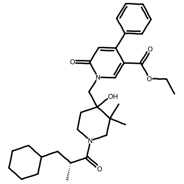 CCOC(=O)c1cn(CC2(O)CCN(C(=O)[C@H](C)CC3CCCCC3)CC2(C)C)c(=O)cc1-c1ccccc1